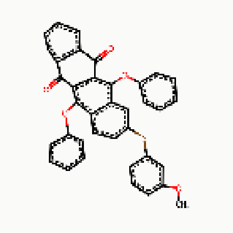 COc1cccc(Sc2ccc3c(Oc4ccccc4)c4c(c(Oc5ccccc5)c3c2)C(=O)c2ccccc2C4=O)c1